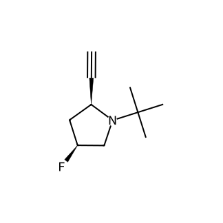 C#C[C@@H]1C[C@H](F)CN1C(C)(C)C